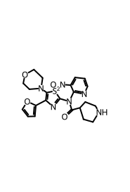 O=C(C1CCNCC1)N(c1nc(-c2ccco2)c(N2CCOCC2)s1)c1ncccc1[N+](=O)[O-]